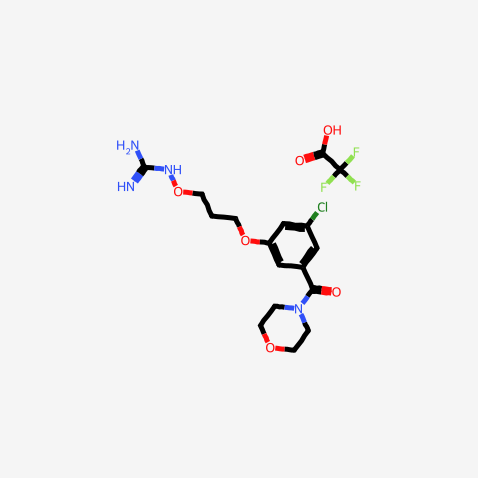 N=C(N)NOCCCOc1cc(Cl)cc(C(=O)N2CCOCC2)c1.O=C(O)C(F)(F)F